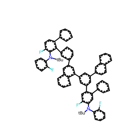 CC(C)(C)N(c1ccccc1F)c1cc(-c2ccccc2)c(-c2cc(-c3ccc4ccccc4c3)cc(-c3cc(-c4cccc(-c5c(-c6ccccc6)ccc(F)c5N(c5ccccc5F)C(C)(C)C)c4)cc4ccccc34)c2)cc1F